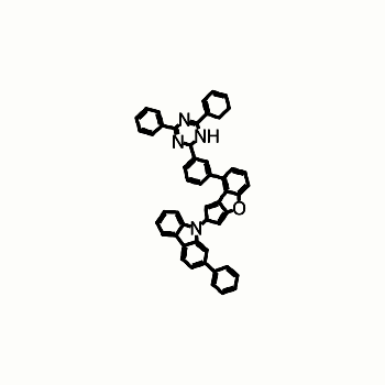 C1=CCCC(C2=NC(c3ccccc3)=NC(c3cccc(-c4cccc5oc6c(c45)=CC(n4c5ccccc5c5ccc(-c7ccccc7)cc54)C=6)c3)N2)=C1